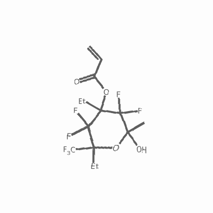 C=CC(=O)OC1(CC)C(F)(F)C(C)(O)OC(CC)(C(F)(F)F)C1(F)F